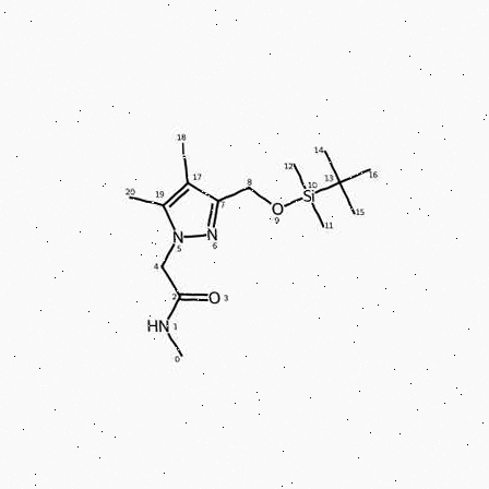 CNC(=O)Cn1nc(CO[Si](C)(C)C(C)(C)C)c(I)c1C